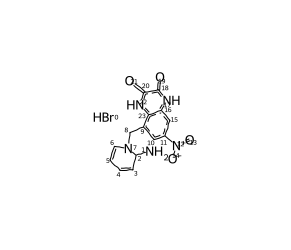 Br.NC1C=CC=CN1Cc1cc([N+](=O)[O-])cc2[nH]c(=O)c(=O)[nH]c12